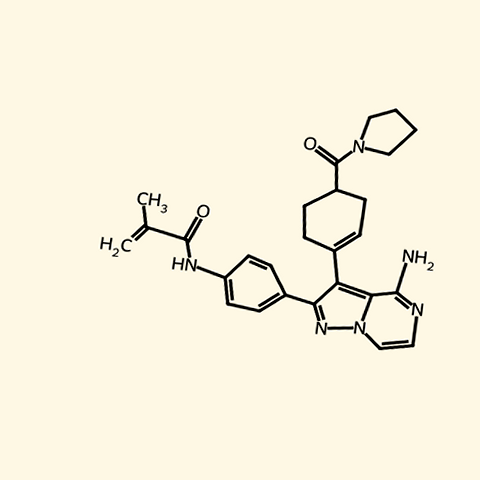 C=C(C)C(=O)Nc1ccc(-c2nn3ccnc(N)c3c2C2=CCC(C(=O)N3CCCC3)CC2)cc1